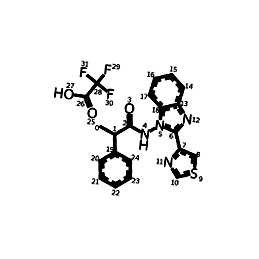 CC(C(=O)Nn1c(-c2cscn2)nc2ccccc21)c1ccccc1.O=C(O)C(F)(F)F